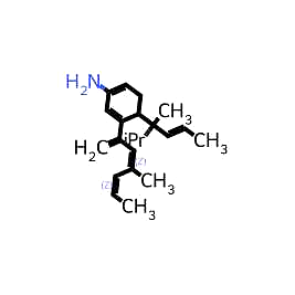 C=C(/C=C(C)\C=C/C)C1=CC(N)=CCC1C(C)(C=CC)C(C)C